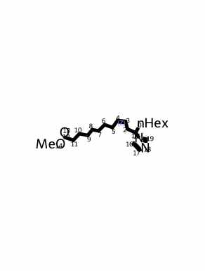 CCCCCCC(C/C=C\CCCCCCCC(=O)OC)n1ccnc1